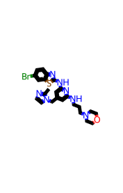 Cc1nccn1Cc1cc(NCCCN2CCOCC2)nc(Nc2nc3ccc(Br)cc3s2)c1